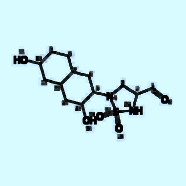 O=CC1CN(C2CC3CCC(O)CC3CC2O)S(=O)(=O)N1